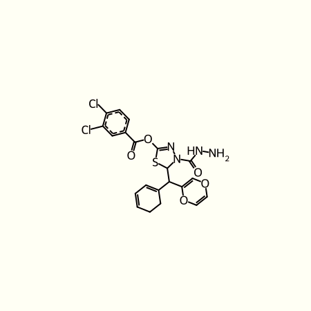 NNC(=O)N1N=C(OC(=O)c2ccc(Cl)c(Cl)c2)SC1C(C1=CC=CCC1)C1=COC=CO1